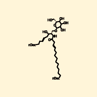 CCCCCCCCCCCCC=CC[C@@H](O)[C@H](CO[C@@H]1O[C@H](CO)[C@@H](O)C(O)C1O)NC(=O)CC=CCCCCCCCCCCCCCCCCCCCC